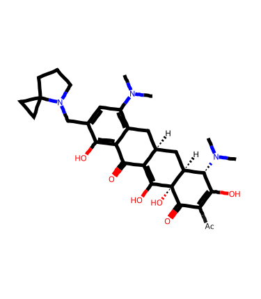 CC(=O)C1=C(O)[C@@H](N(C)C)[C@@H]2C[C@@H]3Cc4c(N(C)C)cc(CN5CCCC56CC6)c(O)c4C(=O)C3=C(O)[C@]2(O)C1=O